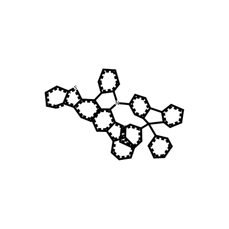 c1ccc(C2(c3ccccc3)c3ccccc3-c3ccc(N(c4ccccc4-c4cccc5c4sc4ccccc45)c4cccc5c4sc4ccccc45)cc32)cc1